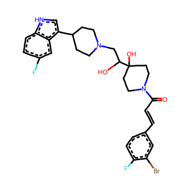 O=C(C=Cc1ccc(F)c(Br)c1)N1CCC(O)(C(O)CN2CCC(c3c[nH]c4ccc(F)cc34)CC2)CC1